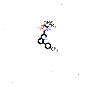 CO[C@H](O)C(C)NC(=O)c1cnc2c(C3=CC[C@@H](C(F)(F)F)CC3)cccc2c1